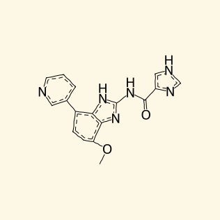 COc1ccc(-c2cccnc2)c2[nH]c(NC(=O)c3c[nH]cn3)nc12